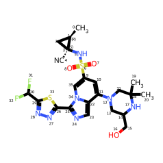 C[C@@H]1C[C@]1(C#N)NS(=O)(=O)c1cc(N2CC(CO)NC(C)(C)C2)c2cnc(-c3nnc(C(F)F)s3)n2c1